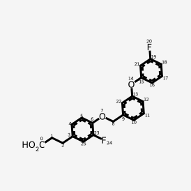 O=C(O)CCc1ccc(OCc2cccc(Oc3cccc(F)c3)c2)c(F)c1